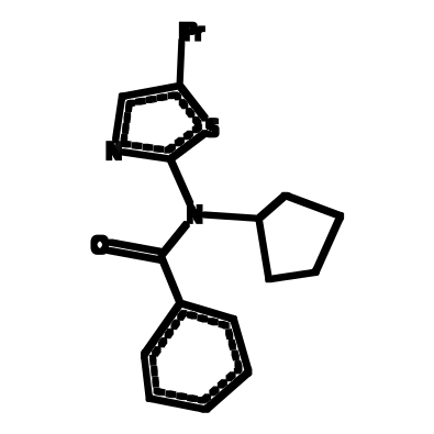 CC(C)c1cnc(N(C(=O)c2ccccc2)C2CCCC2)s1